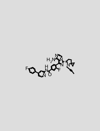 CC#CCN1[C@H](c2nc(-c3ccc(C(=O)Nc4cc(-c5ccc(F)cc5)ccn4)cc3F)c3c(N)nccn23)CCC12CC2